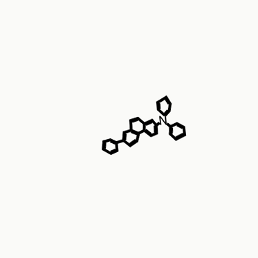 c1ccc(-c2ccc3c(ccc4cc(N(c5ccccc5)c5ccccc5)ccc43)c2)cc1